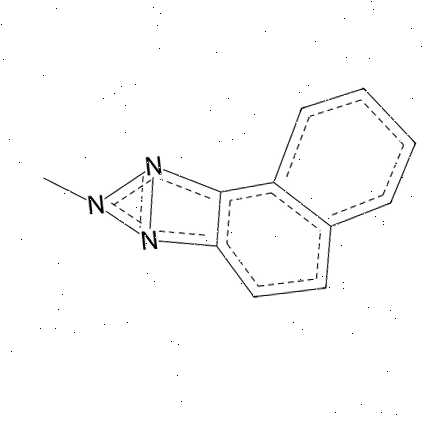 Cn1n2c3ccc4ccccc4c3n12